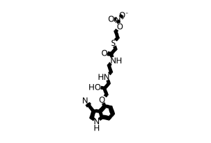 N#Cc1c[nH]c2cccc(OCC(O)CNCCNC(=O)CSCCO[N+](=O)[O-])c12